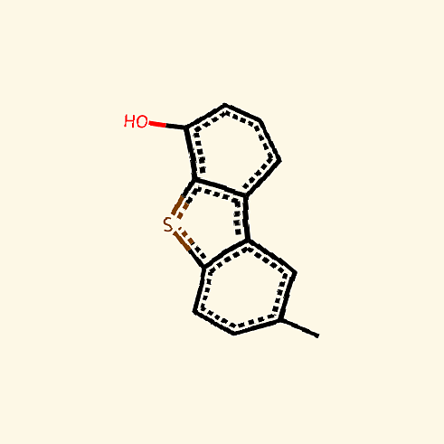 Cc1ccc2sc3c(O)cccc3c2c1